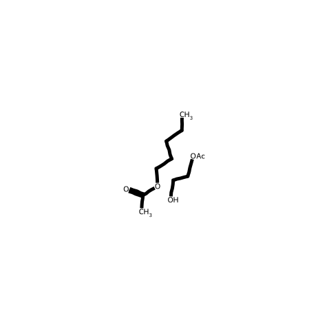 CC(=O)OCCO.CCCCCOC(C)=O